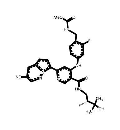 COC(=O)NCc1ccc(Nc2cc(-c3ccc4cc(C#N)cnn34)ncc2C(=O)NC[C@@H](F)C(C)(C)O)cc1F